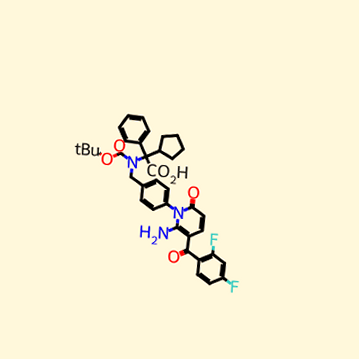 CC(C)(C)OC(=O)N(Cc1ccc(-n2c(N)c(C(=O)c3ccc(F)cc3F)ccc2=O)cc1)C(C(=O)O)(c1ccccc1)C1CCCC1